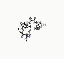 C=N/C=C\C(=C/C)NC(=O)C(C)CNC(CO)(CO)COCOC(=O)C(C)CNC(CO)(CO)CO